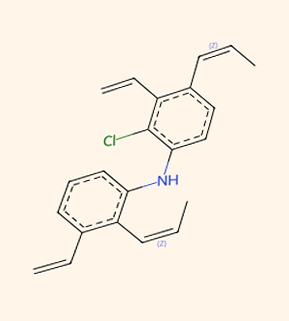 C=Cc1cccc(Nc2ccc(/C=C\C)c(C=C)c2Cl)c1/C=C\C